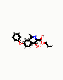 CCCOC(=O)c1nc(C)c2cc(Oc3ccccc3)ccc2c1O